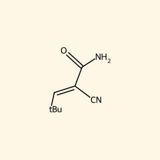 CC(C)(C)/C=C(\C#N)C(N)=O